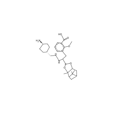 COc1c(CC(NC(=O)C[C@H]2CC[C@H](N)CC2)B2OC3CC4CC(C4(C)C)C3(C)O2)cccc1C(=O)O